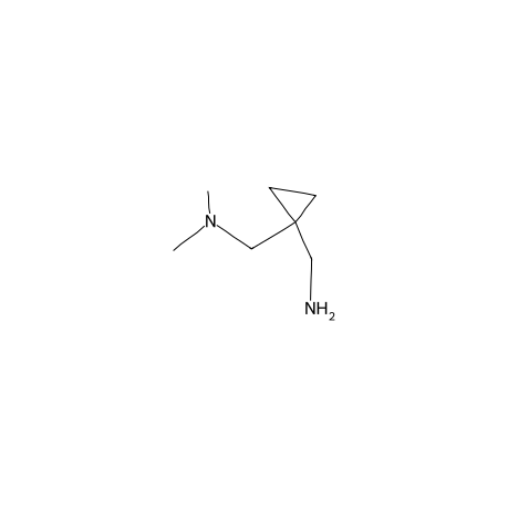 CN(C)CC1(CN)CC1